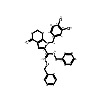 O=C1CCCc2c1cc(C(=NOCc1ccccc1)OCc1ccccc1)n2Cc1ccc(Cl)c(Cl)c1